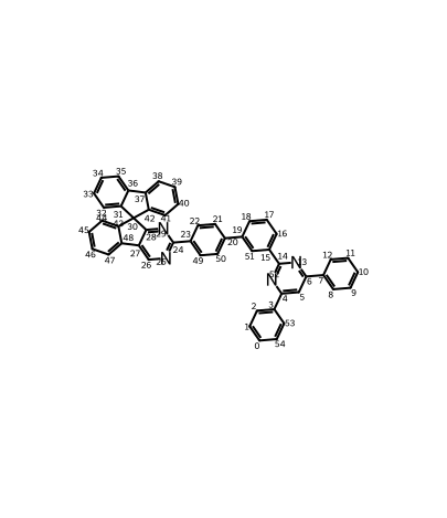 c1ccc(-c2cc(-c3ccccc3)nc(-c3cccc(-c4ccc(-c5ncc6c(n5)C5(c7ccccc7-c7ccccc75)c5ccccc5-6)cc4)c3)n2)cc1